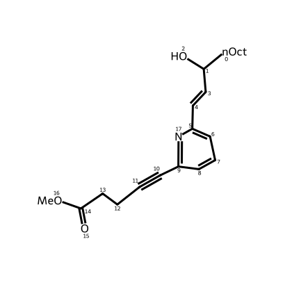 CCCCCCCCC(O)C=Cc1cccc(C#CCCC(=O)OC)n1